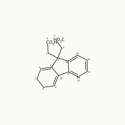 O=C(O)CC1(CC(=O)O)C2=CCCC=C2c2ncccc21